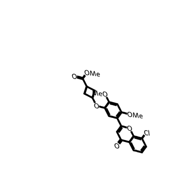 COC(=O)C1CC(Oc2cc(-c3cc(=O)c4cccc(Cl)c4o3)c(OC)cc2OC)C1